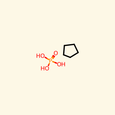 C1CCCC1.O=P(O)(O)O